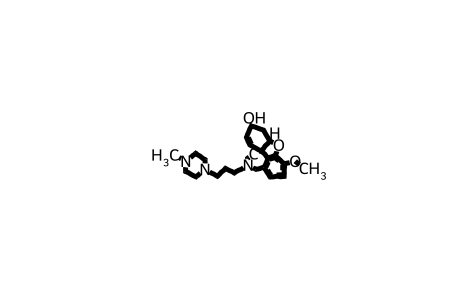 COc1ccc2c3c1O[C@@H]1C[C@@H](O)C=CC31CCN(CCCN1CCN(C)CC1)C2